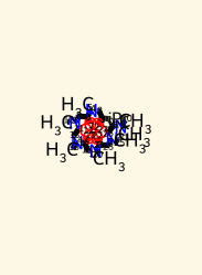 CC(C)C(=O)CN(C)C(=O)CN(C)C(=O)CN(C)C(=O)CN(C)C(=O)CN(C)C(=O)CN(C)C